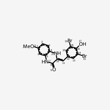 COc1ccc2c(c1)NC(=O)C(=Cc1cc(Br)c(O)c(Br)c1)N2